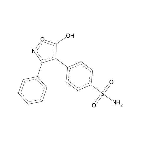 NS(=O)(=O)c1ccc(-c2c(-c3ccccc3)noc2O)cc1